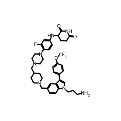 NCCCn1cc(-c2ccc(OC(F)(F)F)cc2)c2cc(CN3CCC(CN4CCN(c5ccc(NC6CCC(=O)NC6=O)cc5F)CC4)CC3)ccc21